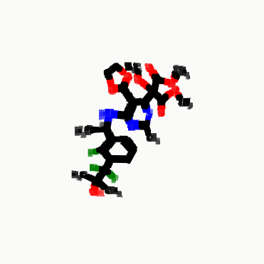 COC(=O)C(OC)(C(=O)OC)c1nc(C)nc(N[C@H](C)c2cccc(C(F)(F)C(C)(C)O)c2F)c1C1OCCO1